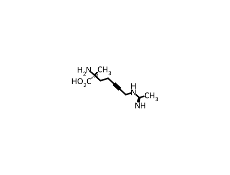 CC(=N)NCC#CCC[C@](C)(N)C(=O)O